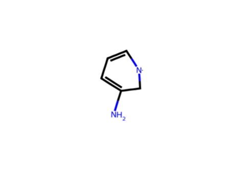 NC1=CC=C[N]C1